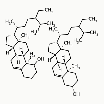 CCC(CC[C@@H](C)[C@H]1CC[C@H]2[C@@H]3CC=C4CCCC(O)[C@]4(C)[C@H]3CC[C@]12C)C(C)C.CCC(CC[C@@H](C)[C@H]1CC[C@H]2[C@@H]3CC=C4C[C@@H](O)CC[C@]4(C)[C@H]3CC[C@]12C)C(C)C